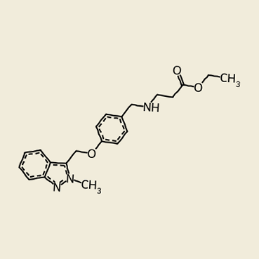 CCOC(=O)CCNCc1ccc(OCc2c3ccccc3nn2C)cc1